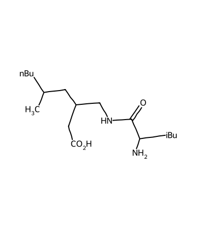 CCCCC(C)CC(CNC(=O)C(N)C(C)CC)CC(=O)O